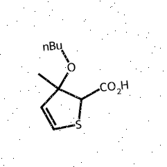 CCCCOC1(C)C=CSC1C(=O)O